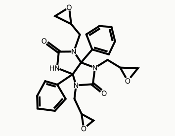 O=C1NC2(c3ccccc3)N(CC3CO3)C(=O)N(CC3CO3)C2(c2ccccc2)N1CC1CO1